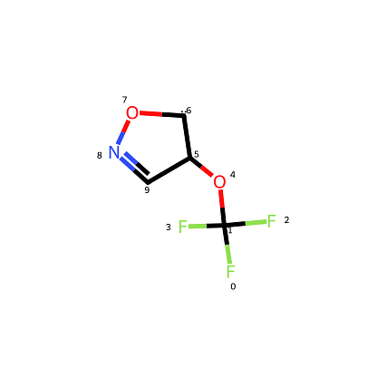 FC(F)(F)OC1[C]ON=C1